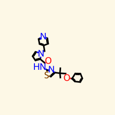 CC(C)(COc1ccccc1)c1csc(NC(=O)c2cccn2Cc2ccncc2)n1